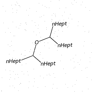 CCCCCCCC(CCCCCCC)OC(CCCCCCC)CCCCCCC